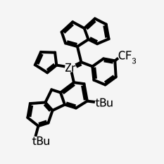 CC(C)(C)c1ccc2c(c1)-c1cc(C(C)(C)C)c[c](/[Zr]([C]3=CC=CC3)=[C](\c3cccc(C(F)(F)F)c3)c3cccc4ccccc34)c1C2